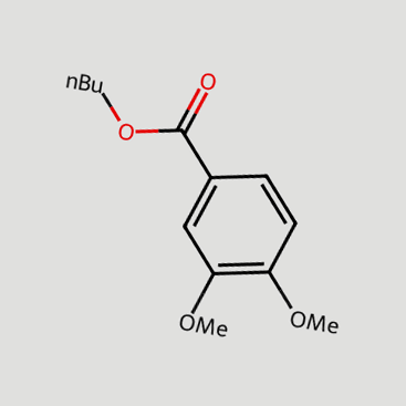 CCCCOC(=O)c1ccc(OC)c(OC)c1